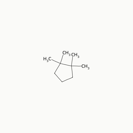 CC1(C)CCCC1(C)C